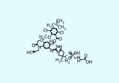 C#CCN1C(=O)COc2cc(F)c(/N=c3\snc4n3CC(C)(C)C4)cc21.COc1c(Cl)ccc(Cl)c1C(=O)O.C[S+](C)C.O=C(O)CNCP(=O)([O-])O